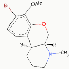 COc1c(Br)ccc2c1OC[C@H]1[C@H]2CCCN1C